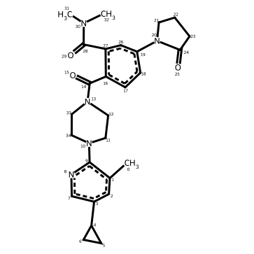 Cc1cc(C2CC2)cnc1N1CCN(C(=O)c2ccc(N3CCCC3=O)cc2C(=O)N(C)C)CC1